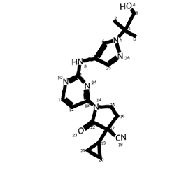 CC(C)(CO)n1cc(Nc2nccc(N3CCC(C#N)(C4CC4)C3=O)n2)cn1